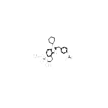 COC(=O)N1c2ccc3c(nc(Cc4ccc(OC(F)F)cc4)n3C3CCCCC3)c2CC[C@@H]1C